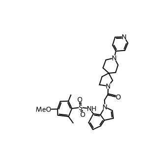 COc1cc(C)c(S(=O)(=O)Nc2cccc3ccn(CC(=O)N4CCC5(CCN(c6ccncc6)CC5)C4)c23)c(C)c1